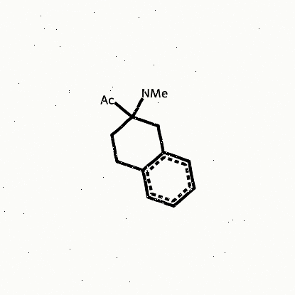 CNC1(C(C)=O)CCc2ccccc2C1